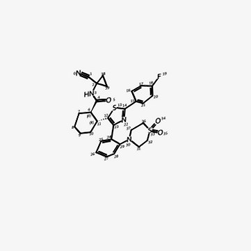 N#CC1(NC(=O)[C@@H]2CCCC[C@H]2c2sc(-c3ccc(F)cc3)nc2-c2ccccc2N2CCS(=O)(=O)CC2)CC1